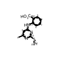 Cc1cc(Nc2ccccc2C(=O)O)nc(SC(C)C)n1